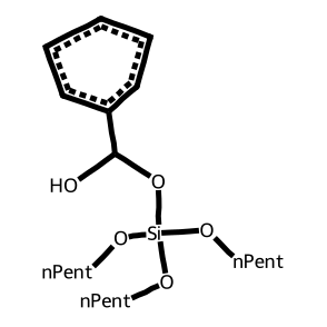 CCCCCO[Si](OCCCCC)(OCCCCC)OC(O)c1ccccc1